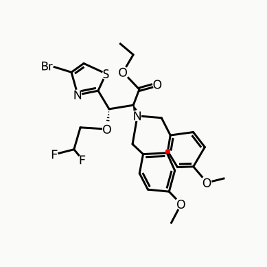 CCOC(=O)[C@H]([C@H](OCC(F)F)c1nc(Br)cs1)N(Cc1ccc(OC)cc1)Cc1ccc(OC)cc1